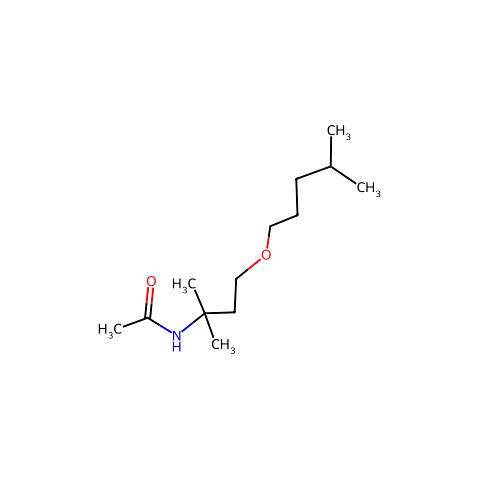 CC(=O)NC(C)(C)CCOCCCC(C)C